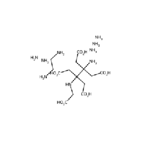 N.N.N.N.N.NC(CC(=O)O)(CC(=O)O)C(CC(=O)O)(CC(=O)O)NCC(=O)O.NCCN